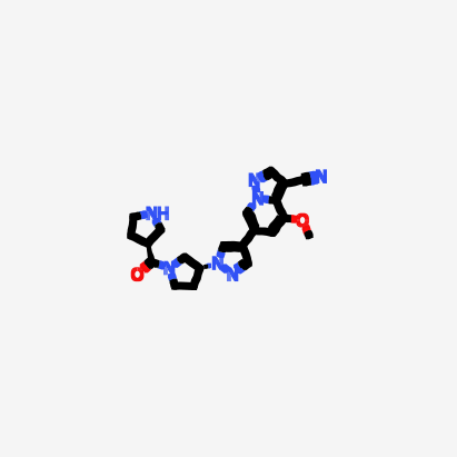 COc1cc(-c2cnn([C@@H]3CCN(C(=O)[C@H]4CCNC4)C3)c2)cn2ncc(C#N)c12